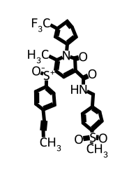 CC#Cc1ccc([S+]([O-])c2cc(C(=O)NCc3ccc(S(C)(=O)=O)cc3)c(=O)n(-c3cccc(C(F)(F)F)c3)c2C)cc1